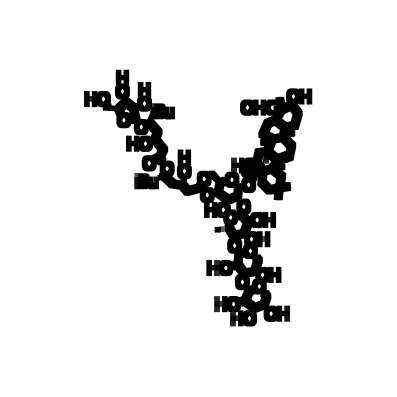 CC[C@@H](C)C(C[C@@H](O)CC(=O)O[C@@H]1[C@H](O)[C@@H](O[C@@H]2O[C@@H](C)[C@H](O[C@@H]3OC[C@@H](O)[C@H](O[C@@H]4OC[C@@H](O)[C@H](O)C4O)C3O)C(O)[C@H]2O)[C@H](OC(=O)[C@]23CCC(C)(C)C[C@@]2(C)C2=CCC4[C@@]5(C)CC[C@H](O)[C@@](C)(C=O)C5CC[C@@]4(C)[C@]2(C)C[C@H]3O)O[C@@H]1C)OC(=O)C[C@H](O)CC(O[C@H]1O[C@H](CO)[C@@H](O)[C@@H]1O)[C@H](C)CC